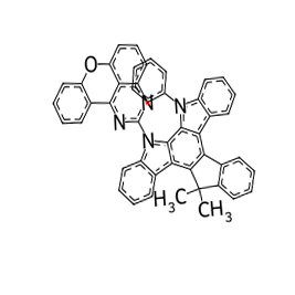 CC1(C)c2ccccc2-c2c1c1c3ccccc3n(-c3nc4c5c(cccc5n3)Oc3ccccc3-4)c1c1c2c2ccccc2n1-c1ccccc1